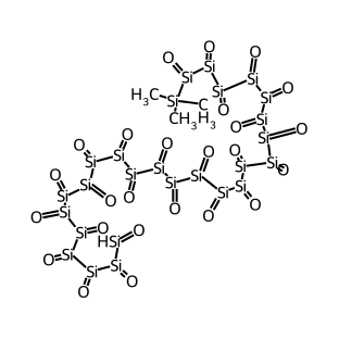 C[Si](C)(C)[Si](=O)[Si](=O)[Si](=O)[Si](=O)[Si](=O)[Si](=O)[Si](=O)[Si](=O)[Si](=O)[Si](=O)[Si](=O)[Si](=O)[Si](=O)[Si](=O)[Si](=O)[Si](=O)[Si](=O)[Si](=O)[Si](=O)[Si](=O)[Si](=O)[Si](=O)[Si](=O)[Si](=O)[SiH]=O